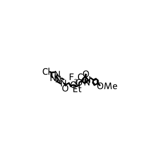 CC[C@@H](COc1cnn(Cc2ccc(OC)cc2)c(=O)c1C(F)(F)F)OCCC(=O)N1CCN(c2ncc(Cl)cn2)CC1